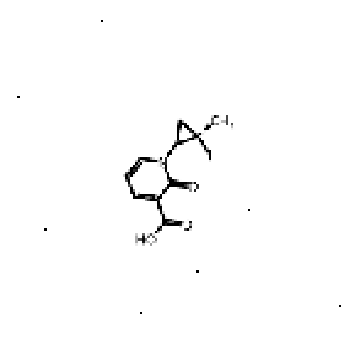 C[C@]1(I)CC1n1cccc(C(=O)O)c1=O